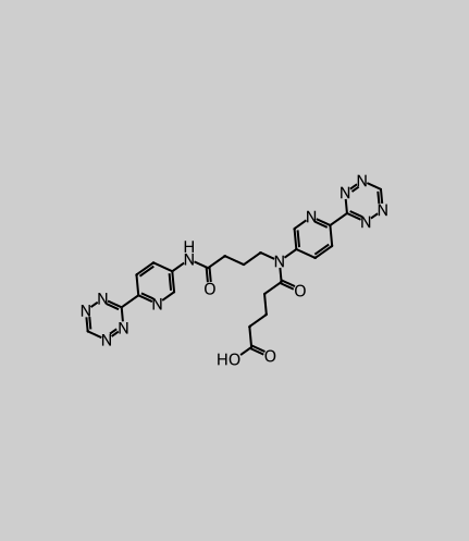 O=C(O)CCCC(=O)N(CCCC(=O)Nc1ccc(-c2nncnn2)nc1)c1ccc(-c2nncnn2)nc1